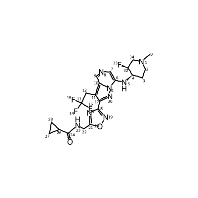 CN1CC[C@@H](Nc2cncc3c(CC(F)(F)F)c(-c4noc(CNC(=O)C5CC5)n4)nn23)[C@@H](F)C1